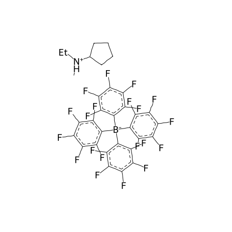 CC[NH+](C)C1CCCC1.Fc1c(F)c(F)c([B-](c2c(F)c(F)c(F)c(F)c2F)(c2c(F)c(F)c(F)c(F)c2F)c2c(F)c(F)c(F)c(F)c2F)c(F)c1F